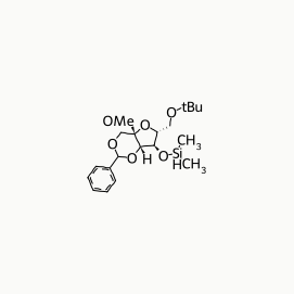 CO[C@]12COC(c3ccccc3)O[C@H]1[C@H](O[SiH](C)C)[C@@H](COC(C)(C)C)O2